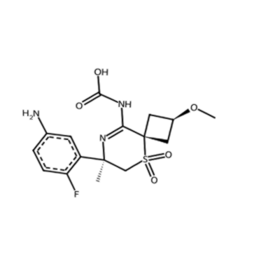 CO[C@H]1C[C@]2(C1)C(NC(=O)O)=N[C@](C)(c1cc(N)ccc1F)CS2(=O)=O